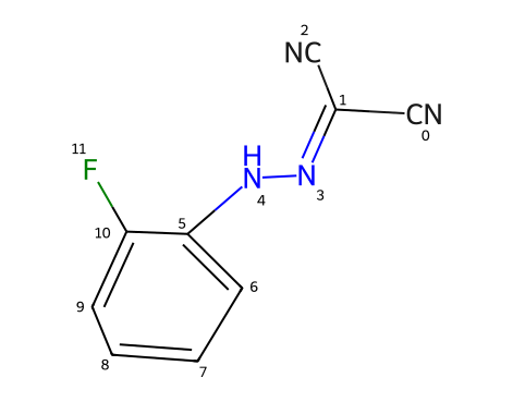 N#CC(C#N)=NNc1ccccc1F